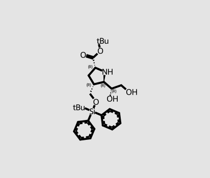 CC(C)(C)OC(=O)[C@H]1C[C@@H](CO[Si](c2ccccc2)(c2ccccc2)C(C)(C)C)[C@H]([C@@H](O)CO)N1